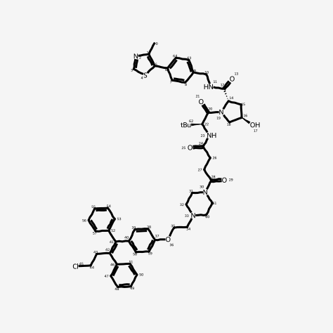 Cc1ncsc1-c1ccc(CNC(=O)[C@@H]2C[C@@H](O)CN2C(=O)[C@@H](NC(=O)CCC(=O)N2CCN(CCOc3ccc(/C(=C(/CCCl)c4ccccc4)c4ccccc4)cc3)CC2)C(C)(C)C)cc1